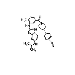 Cc1ccc(C(=O)N2CCC(c3ccc(C#N)cc3)CC2)cc1Nc1nc2nc(NC(C)C)ccc2[nH]1